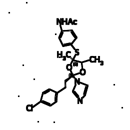 CC(=O)Nc1ccc(S[C@]2(C)O[C@@](CCc3ccc(Cl)cc3)(n3ccnc3)OC2C)cc1